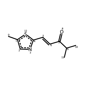 Cc1cnc(C=CC(=O)C(C)C)s1